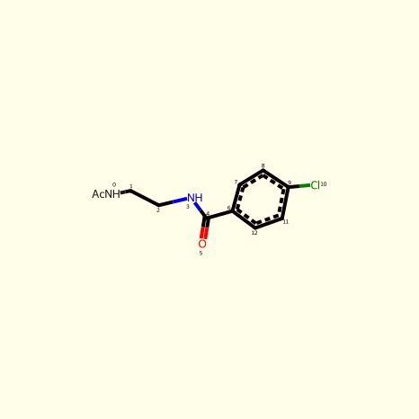 CC(=O)NCCNC(=O)c1ccc(Cl)cc1